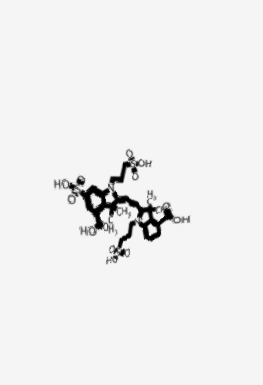 CC1(C)C(/C=C/C=C2/N(CCCS(=O)(=O)O)c3cc(S(=O)(=O)O)cc(C(=O)O)c3C2(C)C)=[N+](CCCS(=O)(=O)O)c2cccc(C(=O)O)c21